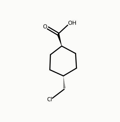 O=C(O)[C@H]1CC[C@H](CCl)CC1